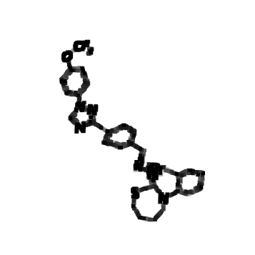 CC(C)c1ccccc1N1CCCCS/C1=N\N=C\c1ccc(-c2ncn(-c3ccc(OC(F)(F)F)cc3)n2)cc1